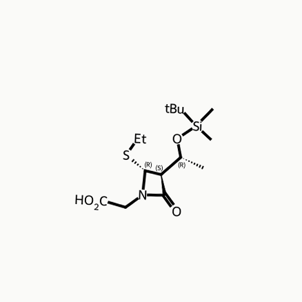 CCS[C@@H]1[C@@H]([C@@H](C)O[Si](C)(C)C(C)(C)C)C(=O)N1CC(=O)O